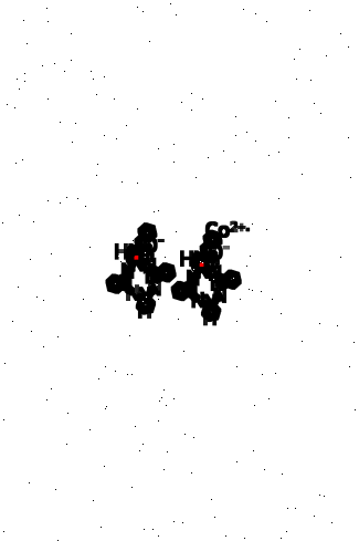 O=C([O-])C(Cc1ccccc1)NS(=O)(=O)n1c2nc3nc(nc4[nH]c(nc5nc(nc1c1ccccc12)-c1ccccc1-5)c1ccccc41)-c1ccccc1-3.O=C([O-])C(Cc1ccccc1)NS(=O)(=O)n1c2nc3nc(nc4[nH]c(nc5nc(nc1c1ccccc12)-c1ccccc1-5)c1ccccc41)-c1ccccc1-3.[Co+2]